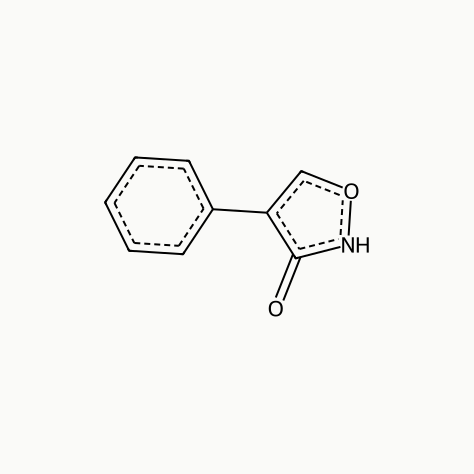 O=c1[nH]occ1-c1ccccc1